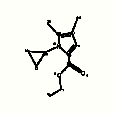 CCOC(=O)c1cc(C)c(C)n1C1CC1